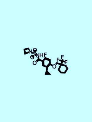 O=C(NS(=O)(=O)N1CCC1)c1cc(C2CC2)c(OCC2(C(F)(F)F)CCCCC2)cc1F